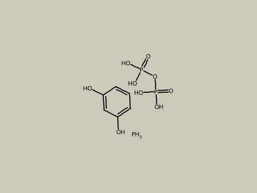 O=P(O)(O)OP(=O)(O)O.Oc1cccc(O)c1.P